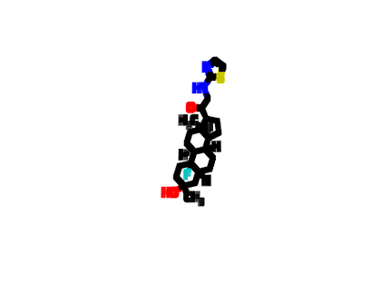 C[C@@]1(O)CC[C@@]2(F)[C@H](CC[C@H]3[C@@H]4CC[C@H](C(=O)CNc5nccs5)[C@@]4(C)CC[C@@H]32)C1